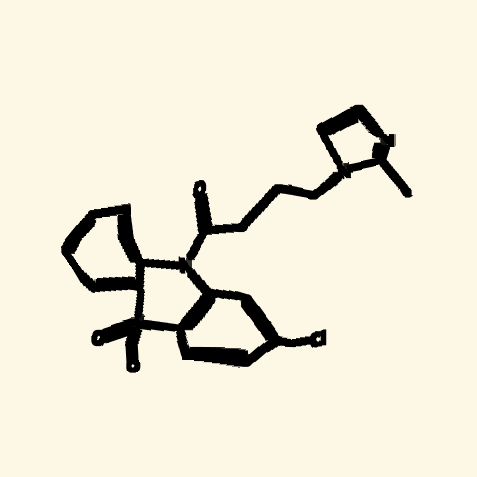 Cc1nccn1CCCC(=O)N1c2ccccc2S(=O)(=O)c2ccc(Cl)cc21